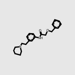 O=C(COCc1ccccc1)Nc1cccc(CCN2CCCCC2)c1